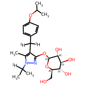 [2H]C([2H])(c1ccc(OC(C)C)cc1)c1c(O[C@@H]2O[C@H](CO)[C@@H](O)[C@H](O)[C@H]2O)nn(C([2H])(C)C)c1C